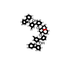 Cc1cc(-c2ccccc2OC(C[C@@H](Oc2ccccc2-c2cc(C)cc(-n3c4ccccc4c4ccccc43)c2O)C2CCCCC2)C2CCCCC2)c(O)c(-n2c3ccccc3c3ccccc32)c1